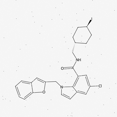 O=C(NC[C@H]1CC[C@H](I)CC1)c1cc(Cl)cc2ccn(Cc3cc4ccccc4o3)c12